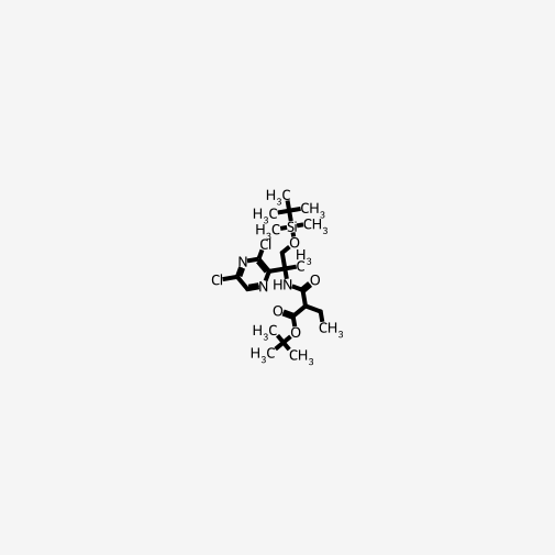 CCC(C(=O)NC(C)(CO[Si](C)(C)C(C)(C)C)c1ncc(Cl)nc1Cl)C(=O)OC(C)(C)C